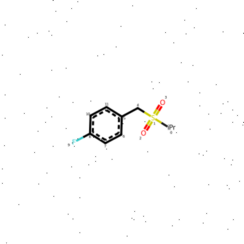 CC(C)S(=O)(=O)Cc1ccc(F)cc1